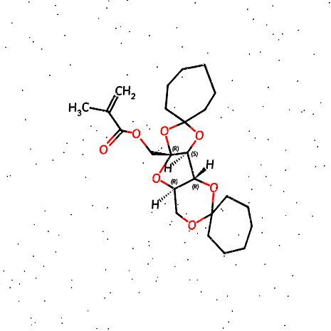 C=C(C)C(=O)OC[C@]12O[C@@H]3COC4(CCCCCC4)O[C@H]3[C@@H]1OC1(CCCCCC1)O2